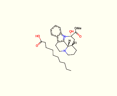 CCCCCCCCCC(=O)O.CC[C@]12CCCN3CCc4c(n(c5ccccc45)[C@@](O)(C(=O)OC)C1)[C@@H]32